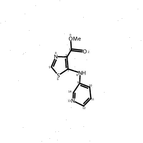 COC(=O)c1ncsc1Nc1cccnc1